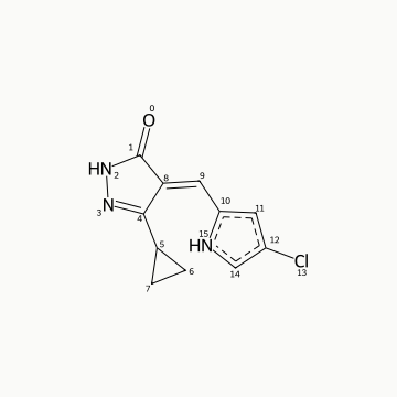 O=C1NN=C(C2CC2)C1=Cc1cc(Cl)c[nH]1